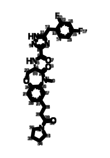 CN1C(=O)[C@@H](NC(=O)c2n[nH]c(Cc3ccc(F)cc3F)n2)COc2ccc(CCC(=O)N3CCCC3)cc21